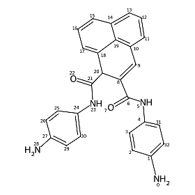 Nc1ccc(NC(=O)C2=Cc3cccc4cccc(c34)C2C(=O)Nc2ccc(N)cc2)cc1